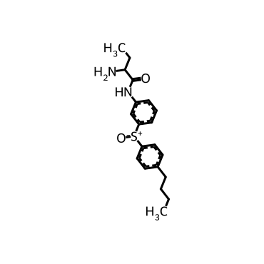 CCCCc1ccc([S+]([O-])c2cccc(NC(=O)C(N)CC)c2)cc1